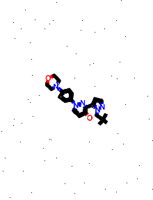 CC(C)(C)Cn1nccc1-c1nn(-c2ccc(N3CCOCC3)cc2)ccc1=O